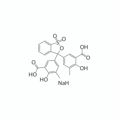 Cc1cc(C2(c3cc(C)c(O)c(C(=O)O)c3)OS(=O)(=O)c3ccccc32)cc(C(=O)O)c1O.[NaH]